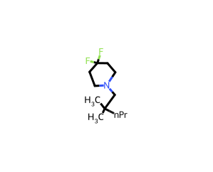 CCCC(C)(C)CN1CCC(F)(F)CC1